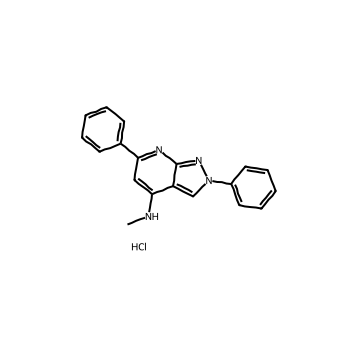 CNc1cc(-c2ccccc2)nc2nn(-c3ccccc3)cc12.Cl